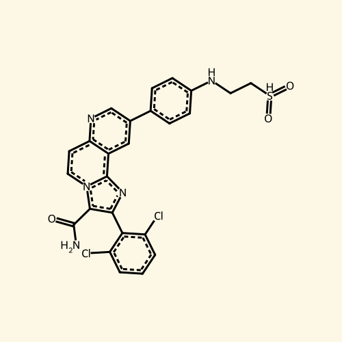 NC(=O)c1c(-c2c(Cl)cccc2Cl)nc2c3cc(-c4ccc(NCC[SH](=O)=O)cc4)cnc3ccn12